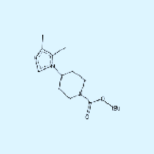 Cc1ncn(C2CCN(C(=O)OC(C)(C)C)CC2)c1C